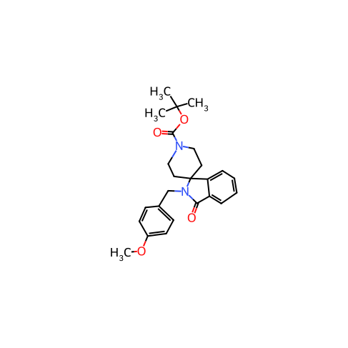 COc1ccc(CN2C(=O)c3ccccc3C23CCN(C(=O)OC(C)(C)C)CC3)cc1